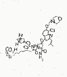 CC(C)=Cc1cc(O[C@@H]2C[C@@H](C(N)=O)N(C(=O)[C@H](CCCCCCC[C@@H]3C[C@@H]3C(=O)O)NC(=O)O[C@@H]3C[C@@H]4C[C@@H]4C3)C2)c2ccc(OCCN3CCOCC3)c(Cl)c2n1